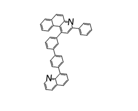 c1ccc(-c2cc(-c3cccc(-c4ccc(-c5cccc6cccnc56)cc4)c3)c3c(ccc4ccccc43)n2)cc1